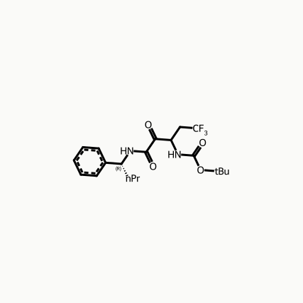 CCC[C@@H](NC(=O)C(=O)C(CC(F)(F)F)NC(=O)OC(C)(C)C)c1ccccc1